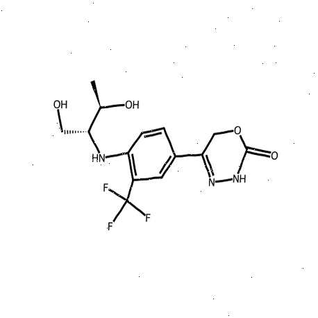 C[C@@H](O)[C@@H](CO)Nc1ccc(C2=NNC(=O)OC2)cc1C(F)(F)F